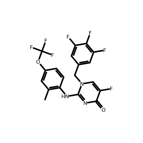 Cc1cc(OC(F)(F)F)ccc1Nc1nc(=O)c(F)cn1Cc1cc(F)c(F)c(F)c1